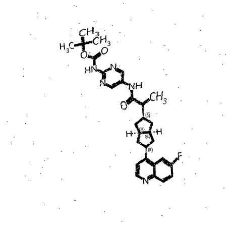 CC(C(=O)Nc1cnc(NC(=O)OC(C)(C)C)nc1)[C@H]1C[C@H]2C[C@@H](c3ccnc4ccc(F)cc34)C[C@H]2C1